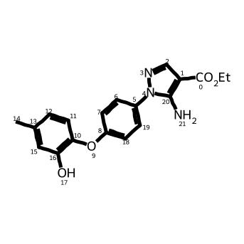 CCOC(=O)c1cnn(-c2ccc(Oc3ccc(C)cc3O)cc2)c1N